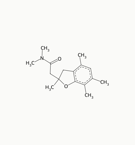 Cc1cc(C)c2c(c1C)OC(C)(CC(=O)N(C)C)C2